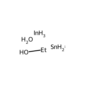 CCO.O.[InH3].[SnH2]